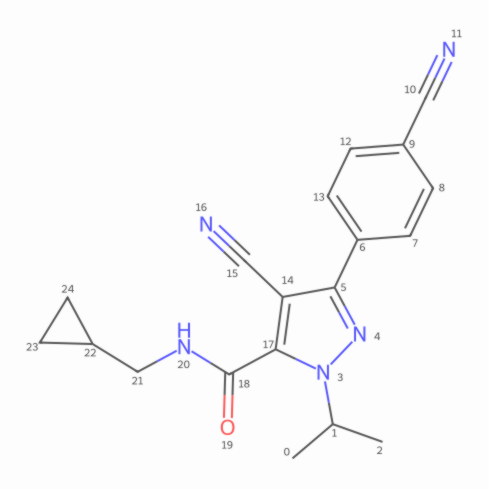 CC(C)n1nc(-c2ccc(C#N)cc2)c(C#N)c1C(=O)NCC1CC1